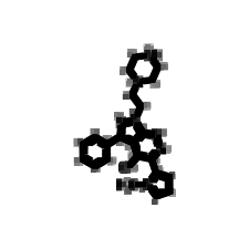 Cn1cccc1-c1nnc2c(c(-c3ccccc3)nn2CCN2CCNCC2)c1Cl